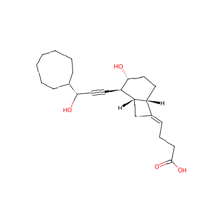 O=C(O)CC/C=C1\C[C@@H]2[C@@H](C#CC(O)C3CCCCCCC3)[C@H](O)CC[C@H]12